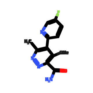 COc1c(C(N)=O)nnc(C)c1-c1ccc(F)cn1